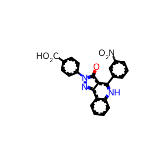 O=C(O)c1ccc(-n2nc3c4ccccc4[nH]c(-c4cccc([N+](=O)[O-])c4)c-3c2=O)cc1